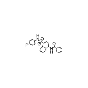 O=C(Nc1ccc(S(=O)(=O)Nc2ccc(F)cc2)c2ccccc12)c1ccccc1